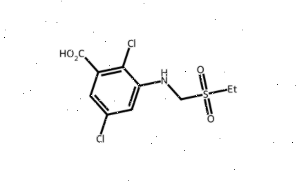 CCS(=O)(=O)CNc1cc(Cl)cc(C(=O)O)c1Cl